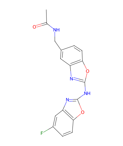 CC(=O)NCc1ccc2oc(Nc3nc4cc(F)ccc4o3)nc2c1